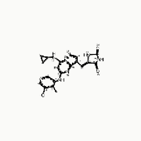 Cc1c(Cl)cncc1Nc1cc(NC2CC2)n2ncc(/C=C3\NC(=O)NC3=O)c2n1